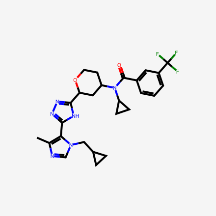 Cc1ncn(CC2CC2)c1-c1nnc(C2CC(N(C(=O)c3cccc(C(F)(F)F)c3)C3CC3)CCO2)[nH]1